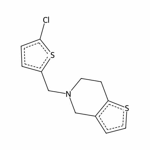 Clc1ccc(CN2CCc3sccc3C2)s1